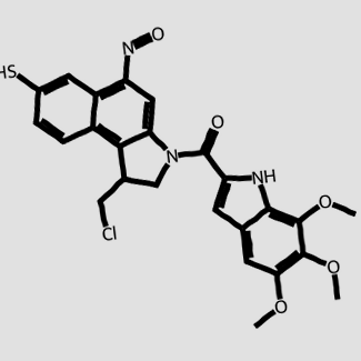 COc1cc2cc(C(=O)N3CC(CCl)c4c3cc(N=O)c3cc(S)ccc43)[nH]c2c(OC)c1OC